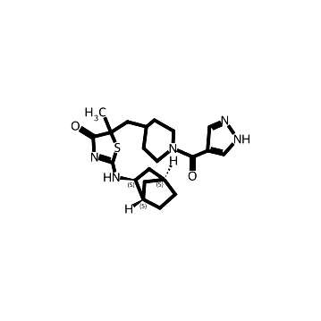 CC1(CC2CCN(C(=O)c3cn[nH]c3)CC2)SC(N[C@H]2C[C@H]3CC[C@H]2C3)=NC1=O